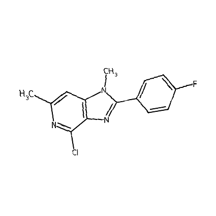 Cc1cc2c(nc(-c3ccc(F)cc3)n2C)c(Cl)n1